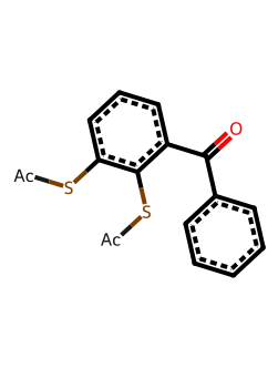 CC(=O)Sc1cccc(C(=O)c2ccccc2)c1SC(C)=O